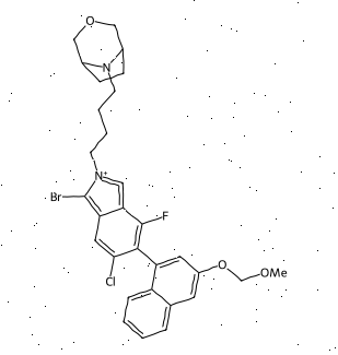 COCOc1cc(-c2c(Cl)cc3c(c2F)=C=[N+](CCCCN2C4CCC2COC4)C=3Br)c2ccccc2c1